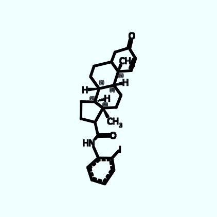 C[C@]12C=CC(=O)CC1CC[C@@H]1[C@H]2CC[C@]2(C)C(C(=O)Nc3ccccc3I)CC[C@@H]12